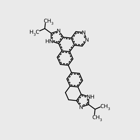 CC(C)c1nc2c([nH]1)-c1ccc(-c3ccc4c(c3)c3cnncc3c3nc(C(C)C)[nH]c43)cc1CC2